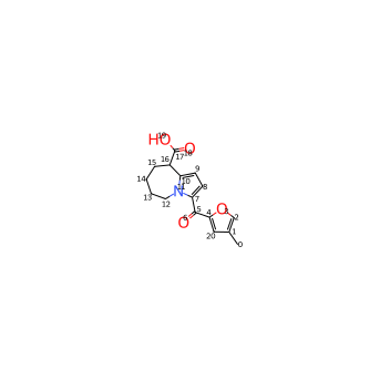 Cc1coc(C(=O)c2ccc3n2CCCCC3C(=O)O)c1